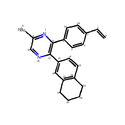 C=Cc1ccc(-c2nc(CCCC)cnc2-c2ccc3c(c2)CCCC3)cc1